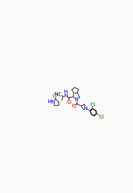 N#C[C@H](C[C@@H]1CCNC1=O)NC(=O)C1C2CCCC2CN1C(=O)C1CN(c2ccc(Cl)cc2Cl)C1